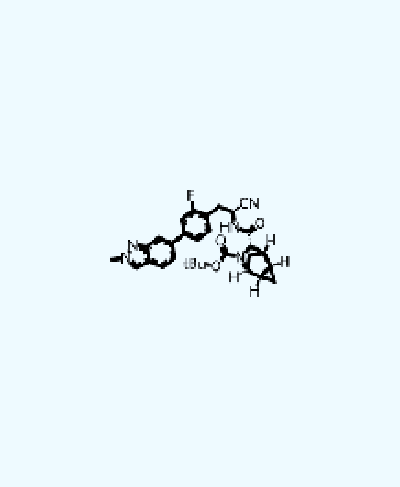 Cn1cc2ccc(-c3ccc(C[C@@H](C#N)NC(=O)[C@@H]4[C@H]5C[C@@H]([C@H]6C[C@@H]56)N4C(=O)OC(C)(C)C)c(F)c3)cc2n1